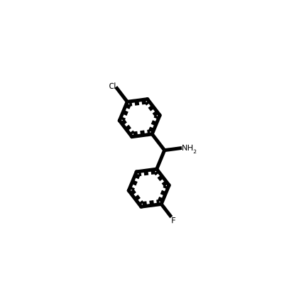 NC(c1ccc(Cl)cc1)c1cccc(F)c1